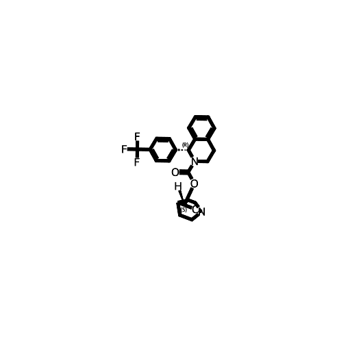 O=C(O[C@@H]1CN2CCC1CC2)N1CCc2ccccc2[C@H]1c1ccc(C(F)(F)F)cc1